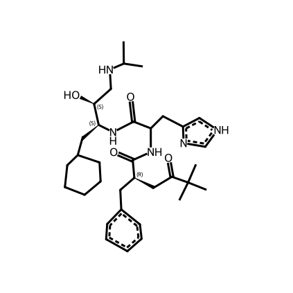 CC(C)NC[C@H](O)[C@H](CC1CCCCC1)NC(=O)C(Cc1c[nH]cn1)NC(=O)[C@@H](CC(=O)C(C)(C)C)Cc1ccccc1